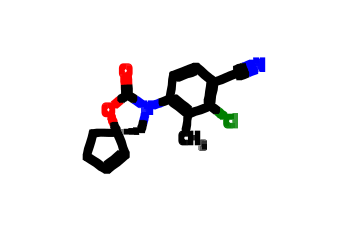 Cc1c(N2C[C@@]3(C=CCC3)OC2=O)ccc(C#N)c1Cl